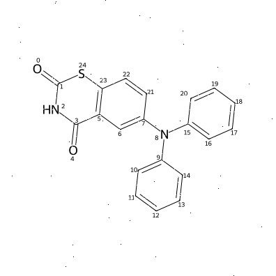 O=c1[nH]c(=O)c2cc(N(c3ccccc3)c3ccccc3)ccc2s1